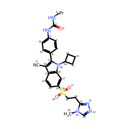 CC(C)NC(=O)Nc1ccc(-c2c(C#N)c3ccc(S(=O)(=O)CCc4nncn4C)cc3n2C2CCC2)cc1